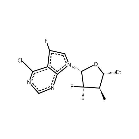 CC[C@H]1O[C@@H](n2cc(F)c3c(Cl)ncnc32)[C@](C)(F)[C@@H]1C